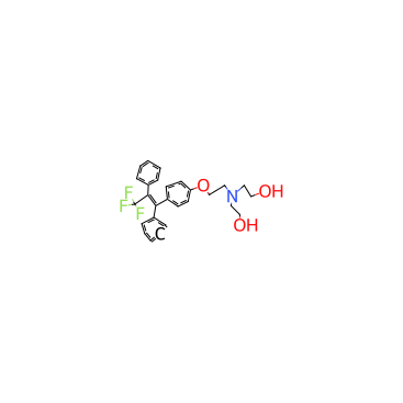 OCCN(CCO)CCOc1ccc(/C(=C(\c2ccccc2)C(F)(F)F)c2ccccc2)cc1